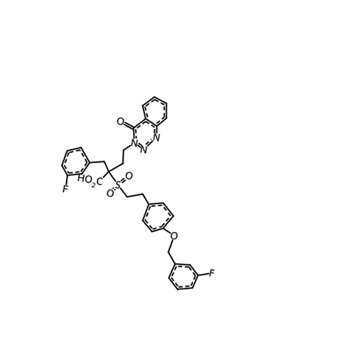 O=C(O)C(CCn1nnc2ccccc2c1=O)(Cc1cccc(F)c1)S(=O)(=O)CCc1ccc(OCc2cccc(F)c2)cc1